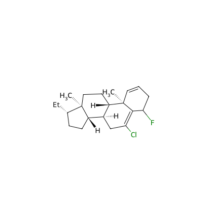 CC[C@H]1CC[C@H]2[C@@H]3CC(Cl)=C4C(F)CC=C[C@]4(C)[C@H]3CC[C@]12C